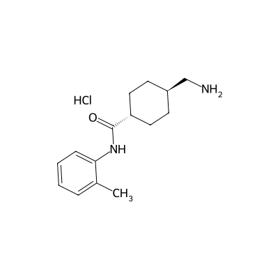 Cc1ccccc1NC(=O)[C@H]1CC[C@H](CN)CC1.Cl